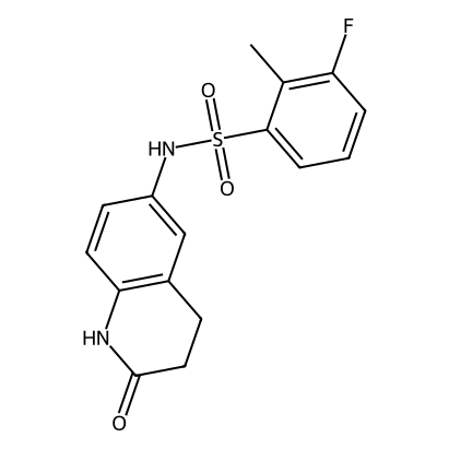 Cc1c(F)cccc1S(=O)(=O)Nc1ccc2c(c1)CCC(=O)N2